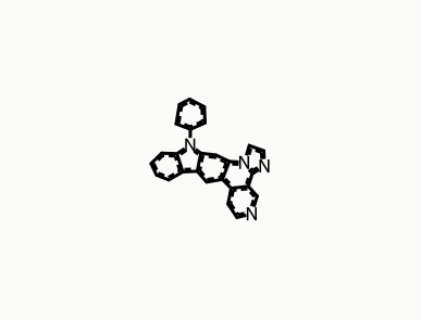 c1ccc(-n2c3ccccc3c3cc4c5ccncc5c5nccn5c4cc32)cc1